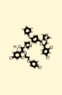 C/C(=C(/OCCOc1ccc(Cl)cc1)c1ccc(Cl)cc1Cl)n1ccnc1.Clc1ccc(C(Cn2ccnc2)OCc2ccc(Sc3ccccc3)cc2)c(Cl)c1